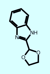 c1ccc2[nH]c(C3OCCO3)nc2c1